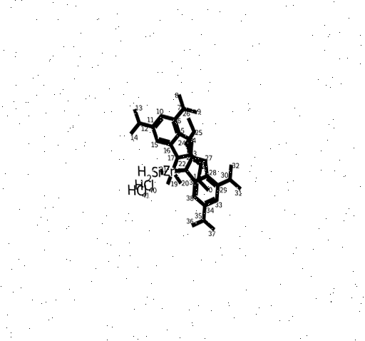 CCCC1=Cc2c(C(C)C)cc(C(C)C)cc2[CH]1[Zr]([CH3])([CH3])(=[SiH2])[CH]1C(CCC)=Cc2c(C(C)C)cc(C(C)C)cc21.Cl.Cl